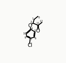 CCC(Oc1ccc(Cl)cc1)C(C)=O